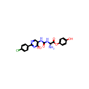 N[C@@H](NC(=O)Nc1cnc(-c2ccc(Cl)cc2)nc1O)C(=O)Oc1ccc(O)cc1